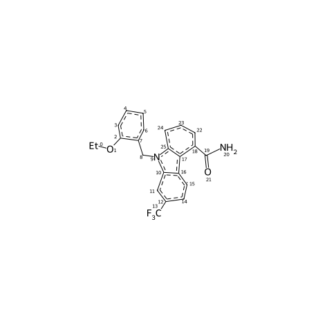 CCOc1ccccc1Cn1c2cc(C(F)(F)F)c[c]c2c2c(C(N)=O)cccc21